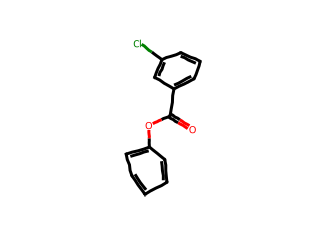 O=C(Oc1cc[c]cc1)c1cccc(Cl)c1